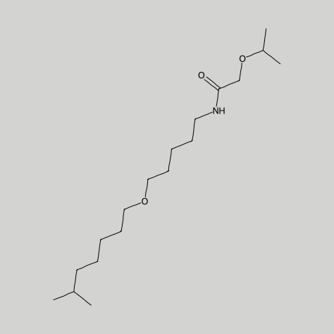 CC(C)CCCCCOCCCCCNC(=O)COC(C)C